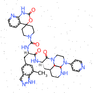 Cc1cc(C[C@@H](NC(=O)N2CCC3(CC2)OC(=O)Nc2ncccc23)C(=O)N[C@@H](CC2CCNCC2)C(=O)N2CCN(c3ccncc3)CC2)cc2cn[nH]c12